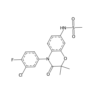 CC1(C)Oc2cc(NS(C)(=O)=O)ccc2N(c2ccc(F)c(Cl)c2)C1=O